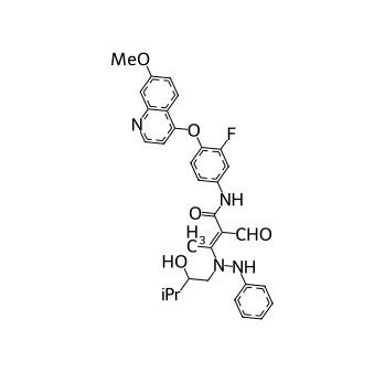 COc1ccc2c(Oc3ccc(NC(=O)/C(C=O)=C(\C)N(CC(O)C(C)C)Nc4ccccc4)cc3F)ccnc2c1